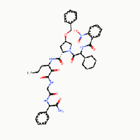 CCCC(NC(=O)[C@@H]1C[C@@H](OCc2ccccc2)CN1C(=O)C(NC(=O)c1ccccc1[N+](=O)O)C1CCCCC1)C(=O)C(=O)NCC(=O)NC(C(N)=O)c1ccccc1